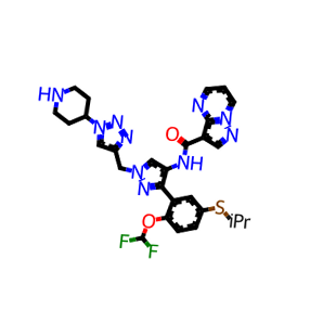 CC(C)Sc1ccc(OC(F)F)c(-c2nn(Cc3cn(C4CCNCC4)nn3)cc2NC(=O)c2cnn3cccnc23)c1